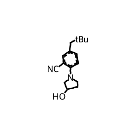 CC(C)(C)Cc1ccc(N2CCC(O)C2)c(C#N)c1